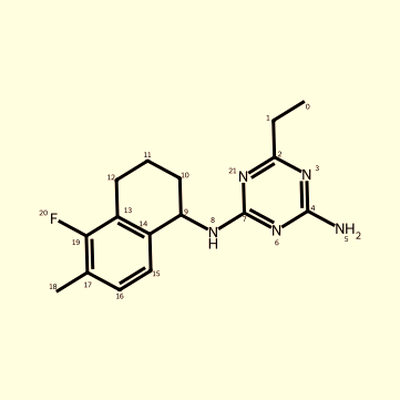 CCc1nc(N)nc(NC2CCCc3c2ccc(C)c3F)n1